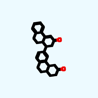 O=C1C=C2c3ccccc3CCC2C(c2ccc3c(c2)C2CC(=O)CCC2CC3)C1